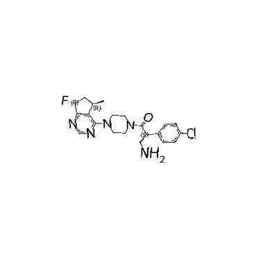 C[C@@H]1C[C@@H](F)c2ncnc(N3CCN(C(=O)[C@H](CN)c4ccc(Cl)cc4)CC3)c21